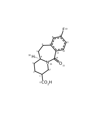 O=C(O)C1CC[C@H]2CCc3cc(F)ccc3C(=O)N2C1